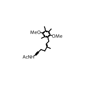 COc1c(C)c(C)c(OC)c(C/C=C(\C)CCC#CNC(C)=O)c1C